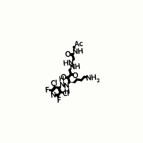 CC(=O)CNC(=O)CNNCC(=O)C(=O)[C@H](CCCCN)NNc1c(Cl)c(F)nc(F)c1Cl